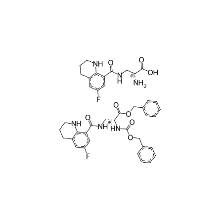 N[C@H](CNC(=O)c1cc(F)cc2c1NCCC2)C(=O)O.O=C(N[C@H](CNC(=O)c1cc(F)cc2c1NCCC2)C(=O)OCc1ccccc1)OCc1ccccc1